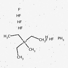 CC[N+](C)(CC)CC.F.F.F.F.F.P.[F-]